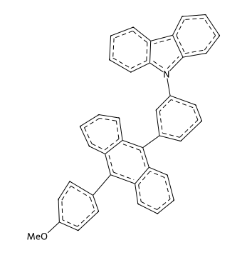 COc1ccc(-c2c3ccccc3c(-c3cccc(-n4c5ccccc5c5ccccc54)c3)c3ccccc23)cc1